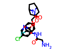 NCC(=O)Nc1cc(Cl)cnc1OCC(=O)N1C2CCC1CC(Oc1ccc(F)cc1)C2